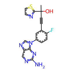 CC(O)(C#Cc1cc(-n2cnc3cnc(N)nc32)ccc1F)c1nccs1